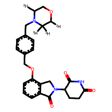 [2H]C1COC([2H])C([2H])([2H])N1Cc1ccc(COc2cccc3c2CN(C2CCC(=O)NC2=O)C3=O)cc1